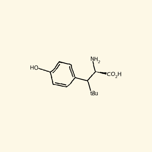 CC(C)(C)C(c1ccc(O)cc1)[C@@H](N)C(=O)O